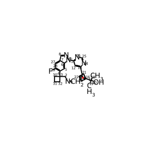 C=NCC1(c2cc3c(cnn3-c3cc(N4CC5(C(C)(C)O)CC4C5)ncn3)cc2F)CCC1